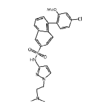 COc1cc(Cl)ccc1-c1cccc2cc(S(=O)(=O)Nc3ccn(CCN(C)C)n3)ccc12